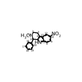 CN1CCc2c([nH]c3ccc([N+](=O)[O-])cc23)C1c1ccccc1